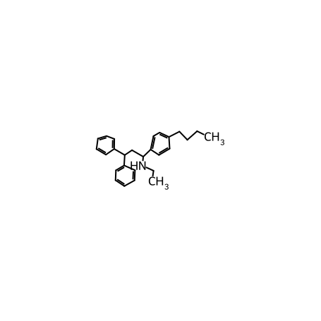 CCCCc1ccc(C(CC(c2ccccc2)c2ccccc2)NCC)cc1